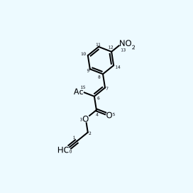 C#CCOC(=O)/C(=C/c1cccc([N+](=O)[O-])c1)C(C)=O